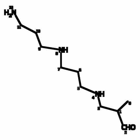 CC(C=O)CNCCCNCCCN